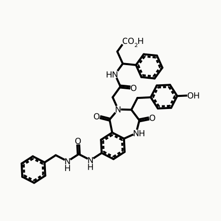 O=C(O)CC(NC(=O)CN1C(=O)c2cc(NC(=O)NCc3ccccc3)ccc2NC(=O)C1Cc1ccc(O)cc1)c1ccccc1